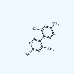 Cc1nc(N)nnc1-c1ncc(C(F)(F)F)cc1O